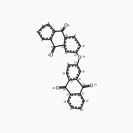 O=C1c2ccccc2C(=O)c2cc(Oc3ccc4c(c3)C(=O)c3ccccc3C4=O)ccc21